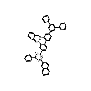 C1=c2ccccc2=CN2B1c1cc(-c3cc(-c4ccccc4)cc(-c4ccccc4)c3)ccc1-c1ccc(-c3nc(-c4ccccc4)nc(-c4ccc5ccccc5c4)n3)cc12